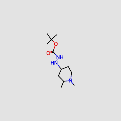 CC1CC(NNC(=O)OC(C)(C)C)CCN1C